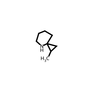 CC1CC12CCCCN2